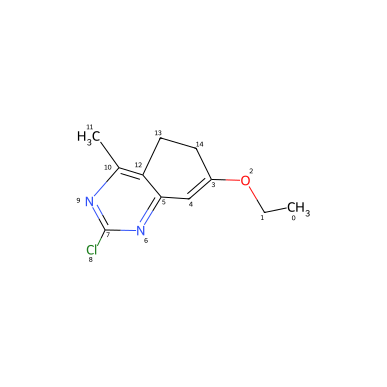 CCOC1=Cc2nc(Cl)nc(C)c2CC1